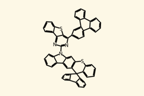 c1ccc2c(c1)Sc1cc3c(cc1C21c2ccccc2-c2ccccc21)c1ccccc1n3-c1nc(-c2ccc3c4ccccc4c4ccccc4c3c2)c2sc3ccccc3c2n1